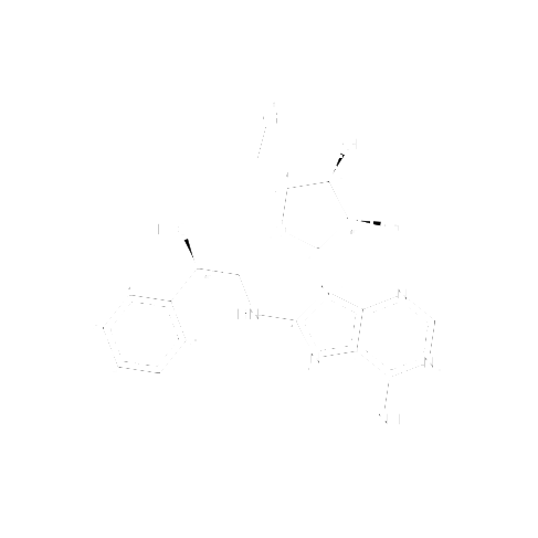 C[C@@H](CNc1nc2c(N)ncnc2n1[C@@H]1O[C@H](CO)[C@@H](O)[C@H]1O)c1ccccc1